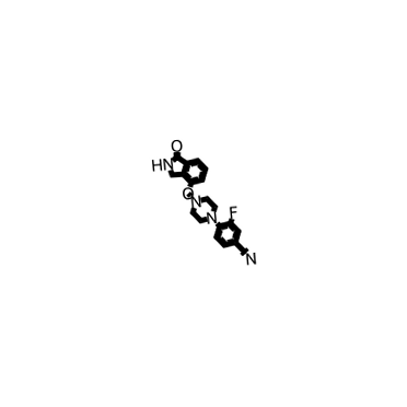 N#Cc1ccc(N2CCN(Oc3cccc4c3CNC4=O)CC2)c(F)c1